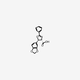 O=C(O)[C@H]1N=C(c2ccccc2)O[C@@H]1c1ccc2c(c1)OCO2